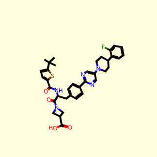 CC(C)(C)c1ccc(C(=O)NC(Cc2ccc(-c3ncc(N4CCC(c5ccccc5F)CC4)cn3)cc2)C(=O)N2CC(C(=O)O)C2)s1